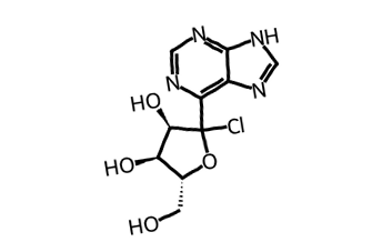 OC[C@H]1OC(Cl)(c2ncnc3[nH]cnc23)[C@H](O)[C@@H]1O